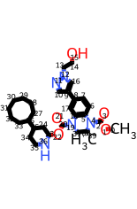 COC(=O)N1c2ccc(-c3cnn(CCO)c3)cc2N(C(=O)OC2CC(C3CCCCCCC3)CCN2)C[C@@H]1C